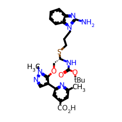 Cc1cc(C(=O)O)cc(-c2cnn(C)c2OC[C@@H](NC(=O)OC(C)(C)C)SCCCn2c(N)nc3ccccc32)n1